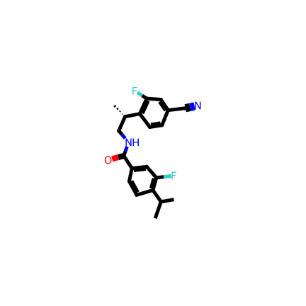 CC(C)c1ccc(C(=O)NC[C@H](C)c2ccc(C#N)cc2F)cc1F